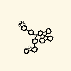 COc1ccc(-c2ccc(N(c3ccc(-c4cccc5c4oc4ccccc45)cc3)c3ccc4c(c3)C3(c5ccccc5-c5ccccc53)c3ccccc3-4)cc2)cc1